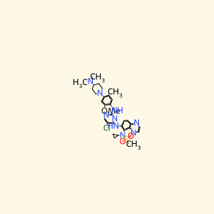 COc1cc(N2CCC(N(C)C)CC2)c(C)cc1Nc1ncc(Cl)c(Nc2ccc3nccnc3c2N(C2CC2)S(C)(=O)=O)n1